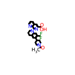 CC(=O)N1CCC(c2cc3c(cc2C(F)F)N(c2nc(C(=O)O)cc4cccnc24)CCC3)CC1